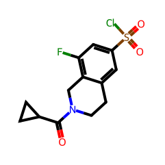 O=C(C1CC1)N1CCc2cc(S(=O)(=O)Cl)cc(F)c2C1